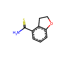 NC(=S)c1cccc2c1CCO2